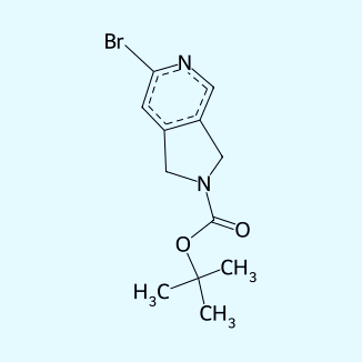 CC(C)(C)OC(=O)N1Cc2cnc(Br)cc2C1